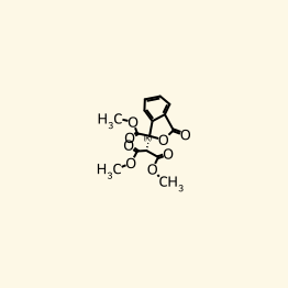 COC(=O)C(C(=O)OC)[C@@]1(C(=O)OC)OC(=O)c2ccccc21